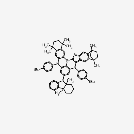 CC(C)(C)c1ccc(N2c3cc4c(cc3B3c5sc6cc7c(cc6c5N(c5ccc(C(C)(C)C)cc5)c5cc(N6c8ccccc8C8(C)CCCCC68C)cc2c53)C2(C)CCC7(C)CC2)C(C)(C)CCC4(C)C)cc1